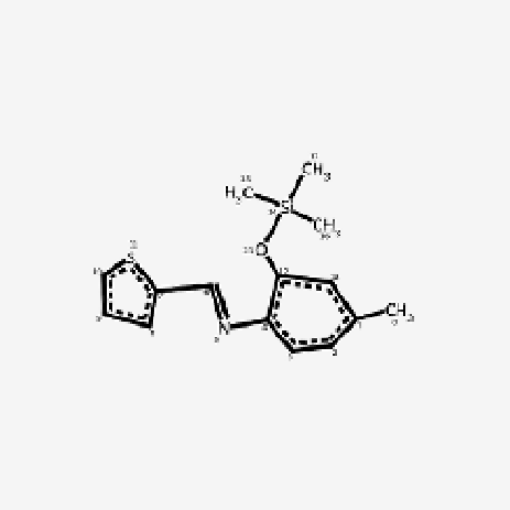 Cc1ccc(N=Cc2cccs2)c(O[Si](C)(C)C)c1